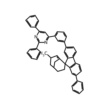 CC1C=C2CC(CCC23c2cc(-c4ccccc4)ccc2-c2ccc(-c4cccc(-c5cc(-c6ccccc6)nc(-c6ccccc6)n5)c4)cc23)C1